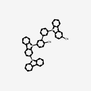 N#Cc1ccc2c(c1)c1ccccc1n2-c1cccc(-c2cc(-n3c4ccccc4c4ccc(-n5c6ccccc6c6ccccc65)cc43)ccc2C#N)c1